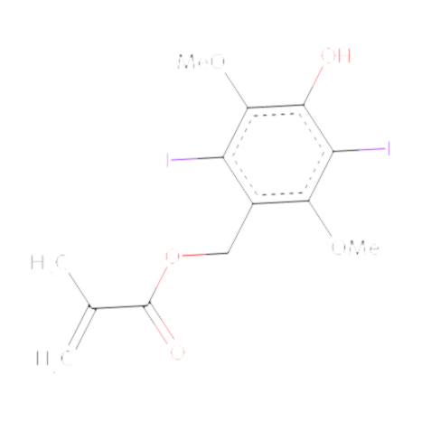 C=C(C)C(=O)OCc1c(I)c(OC)c(O)c(I)c1OC